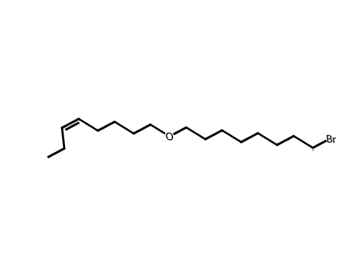 CC/C=C\CCCCOCCCCCCC[CH]Br